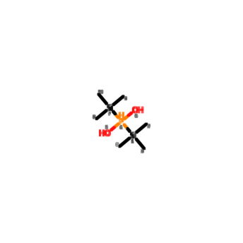 C[Si](C)(C)[PH](O)(O)[Si](C)(C)C